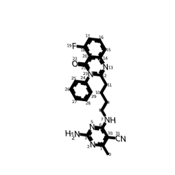 Cc1nc(N)nc(NCCCCc2nc3cccc(F)c3c(=O)n2-c2ccccc2)c1C#N